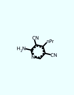 CCCc1c(C#N)cnc(N)c1C#N